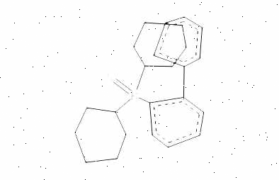 S=P(c1ccccc1-c1ccccc1)(C1CCCCC1)C1CCCCC1